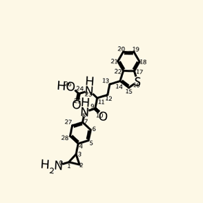 NC1CC1c1ccc(NC(=O)C(CCc2csc3ccccc23)NC(=O)O)cc1